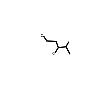 CC(C)C(Cl)CCCl